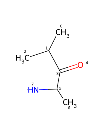 CC(C)C(=O)C(C)[NH]